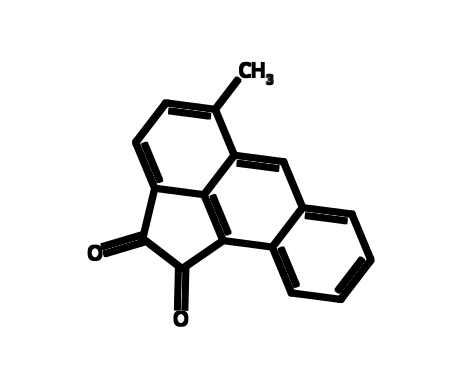 Cc1ccc2c3c(c4ccccc4cc13)C(=O)C2=O